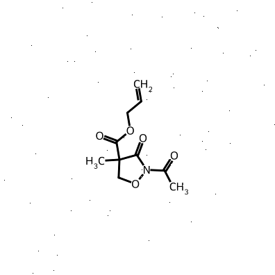 C=CCOC(=O)C1(C)CON(C(C)=O)C1=O